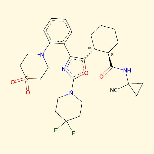 N#CC1(NC(=O)[C@@H]2CCCC[C@H]2c2oc(N3CCC(F)(F)CC3)nc2-c2ccccc2N2CCS(=O)(=O)CC2)CC1